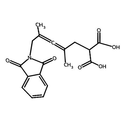 CC(=C=C(C)CN1C(=O)c2ccccc2C1=O)CC(C(=O)O)C(=O)O